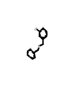 Clc1cccc([CH]SCc2ccccc2)c1